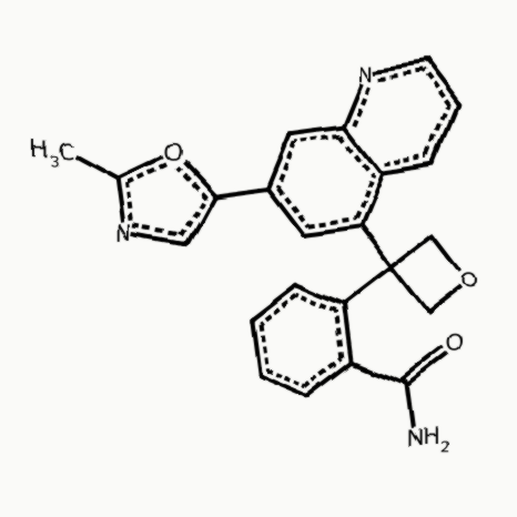 Cc1ncc(-c2cc(C3(c4ccccc4C(N)=O)COC3)c3cccnc3c2)o1